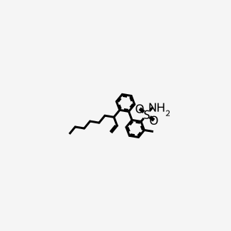 C=CC(CCCCCC)c1ccccc1-c1cccc(C)c1S(N)(=O)=O